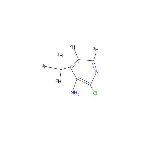 [2H]c1nc(Cl)c(N)c(C([2H])([2H])[2H])c1[2H]